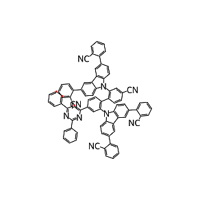 N#Cc1ccc(-c2ccc(-c3nc(-c4ccccc4)nc(-c4ccccc4)n3)cc2-n2c3ccc(-c4ccccc4C#N)cc3c3cc(-c4ccccc4C#N)ccc32)c(-n2c3ccc(-c4ccccc4C#N)cc3c3cc(-c4ccccc4C#N)ccc32)c1